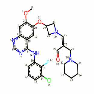 COc1cc2ncnc(Nc3cccc(Cl)c3F)c2cc1OC1CN(C=C(C=O)CN2CCCCC2)C1